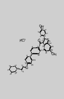 Cl.O=C(c1ccc(-c2ccc(OCCN3CCCCC3)cc2)cc1)c1c(-c2ccc(O)cc2)sc2cc(O)ccc12